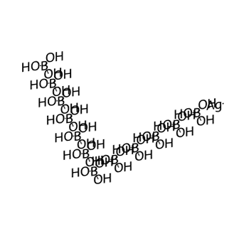 OB(O)O.OB(O)O.OB(O)O.OB(O)O.OB(O)O.OB(O)O.OB(O)O.OB(O)O.OB(O)O.OB(O)O.OB(O)O.OB(O)O.[Ag]